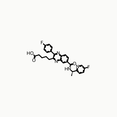 C[C@@H](NC(=O)c1ccc2nc(-c3ccc(F)cc3)c(CCCCC(=O)O)nc2c1)c1ccc(F)cn1